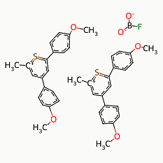 COc1ccc(-c2cc(-c3ccc(OC)cc3)s[c+](C)c2)cc1.COc1ccc(-c2cc(-c3ccc(OC)cc3)s[c+](C)c2)cc1.[O-]B([O-])F